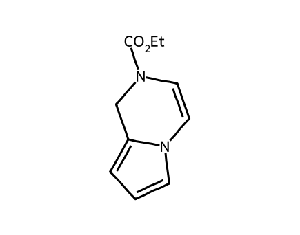 CCOC(=O)N1C=Cn2cccc2C1